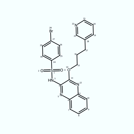 O=S(=O)(Nc1nc2ccccc2nc1OCCCc1cccnc1)c1ccc(Br)cc1